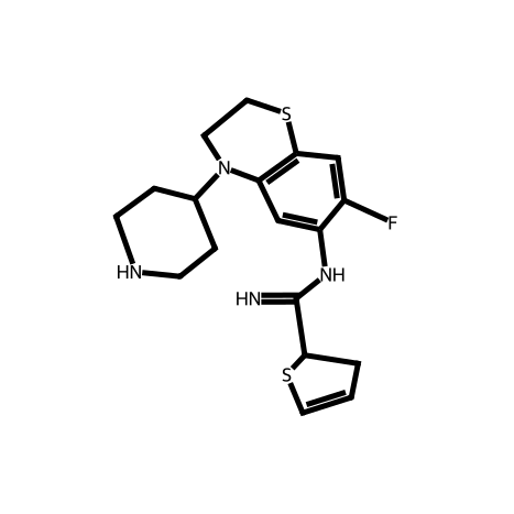 N=C(Nc1cc2c(cc1F)SCCN2C1CCNCC1)C1CC=CS1